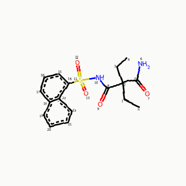 CCC(CC)(C(N)=O)C(=O)NS(=O)(=O)c1cccc2ccccc12